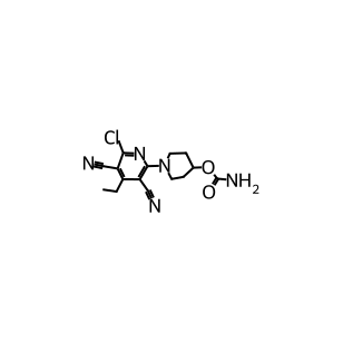 CCc1c(C#N)c(Cl)nc(N2CCC(OC(N)=O)CC2)c1C#N